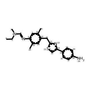 CCN(C)/C=N/c1cc(C)c(Cc2nc(-c3ccc(N)cc3)cs2)cc1C